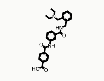 CCN(CC)Cc1ccccc1CNC(=O)c1cccc(NC(=O)c2ccc(C(=O)O)cc2)c1